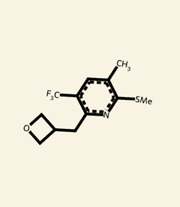 CSc1nc(CC2COC2)c(C(F)(F)F)cc1C